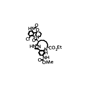 CCOC(=O)[C@@H]1CCCC[C@H](C(=O)N2CCC[C@@]3(C2)OC(=O)Nc2ccc(Cl)c(F)c23)c2nc(c[nH]2)-c2ccc(NC(=O)OC)cc2N1